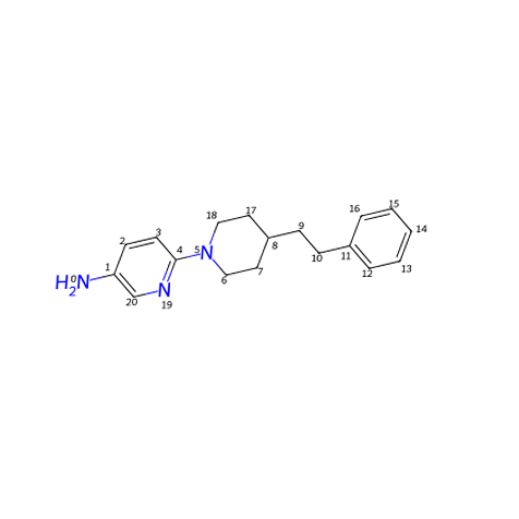 Nc1ccc(N2CCC(CCc3ccccc3)CC2)nc1